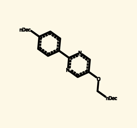 CCCCCCCCCCCOc1cnc(-c2ccc(CCCCCCCCCC)cc2)nc1